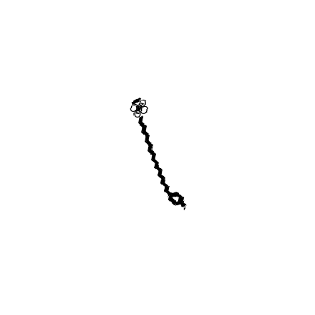 O=P1(OCCCCCCCCCCCCCCCCCCc2ccc(I)cc2)OCCO1